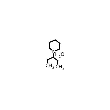 CCC(CC)N1CCCCC1.O